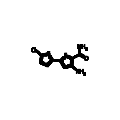 NC(=O)c1sc(-c2ccc(Cl)s2)cc1N